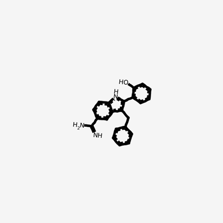 N=C(N)c1ccc2[nH]c(-c3ccccc3O)c(Cc3ccccc3)c2c1